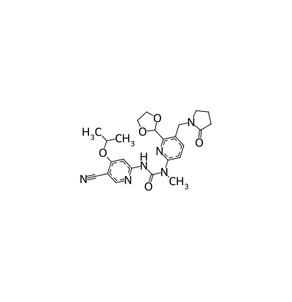 CC(C)Oc1cc(NC(=O)N(C)c2ccc(CN3CCCC3=O)c(C3OCCO3)n2)ncc1C#N